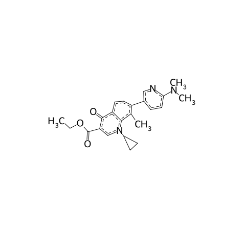 CCOC(=O)c1cn(C2CC2)c2c(C)c(-c3ccc(N(C)C)nc3)ccc2c1=O